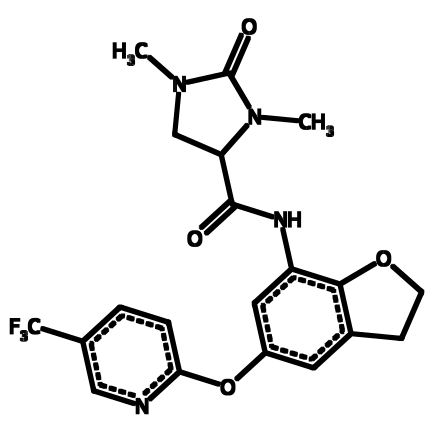 CN1CC(C(=O)Nc2cc(Oc3ccc(C(F)(F)F)cn3)cc3c2OCC3)N(C)C1=O